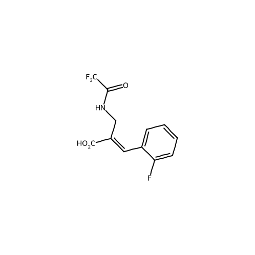 O=C(O)C(=Cc1ccccc1F)CNC(=O)C(F)(F)F